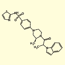 CC(C(=O)N1CCN(c2ccc(S(=O)(=O)Nc3nccs3)cc2)C[C@@H]1C)n1ccc2ccccc21